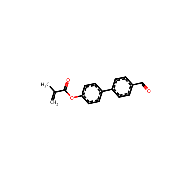 C=C(C)C(=O)Oc1ccc(-c2ccc(C=O)cc2)cc1